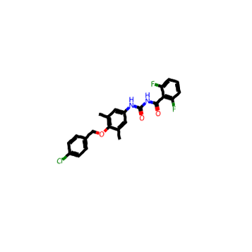 Cc1cc(NC(=O)NC(=O)c2c(F)cccc2F)cc(C)c1OCc1ccc(Cl)cc1